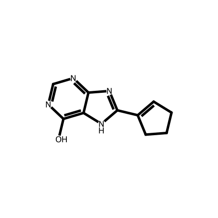 Oc1ncnc2nc(C3=CCCC3)[nH]c12